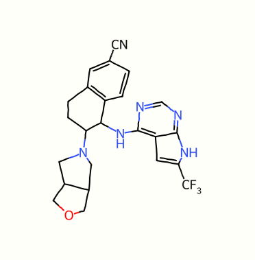 N#Cc1ccc2c(c1)CCC(N1CC3COCC3C1)C2Nc1ncnc2[nH]c(C(F)(F)F)cc12